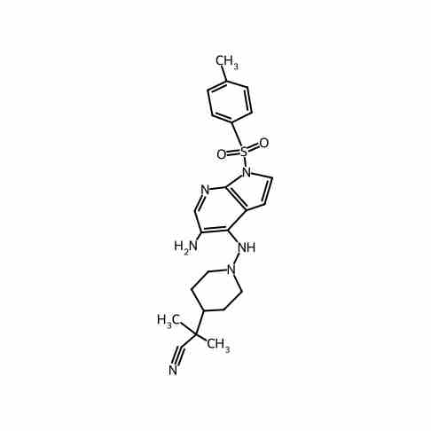 Cc1ccc(S(=O)(=O)n2ccc3c(NN4CCC(C(C)(C)C#N)CC4)c(N)cnc32)cc1